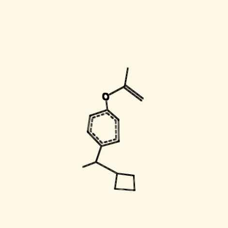 C=C(C)Oc1ccc(C(C)C2CCC2)cc1